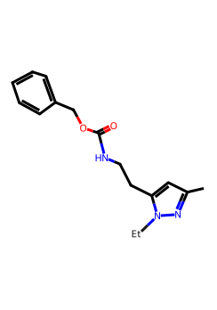 CCn1nc(C)cc1CCNC(=O)OCc1ccccc1